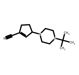 CC(C)(C)N1CCN(C2C=C(C#N)CC2)CC1